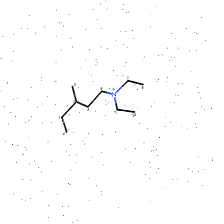 CC[C](C)CCN(CC)CC